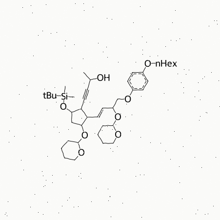 CCCCCCOc1ccc(OCC(C=CC2C(OC3CCCCO3)CC(O[Si](C)(C)C(C)(C)C)C2C#CC(C)O)OC2CCCCO2)cc1